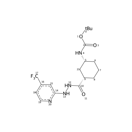 CC(C)(C)OC(=O)N[C@@H]1CCC[C@H](C(=O)NNc2cc(C(F)(F)F)ccn2)C1